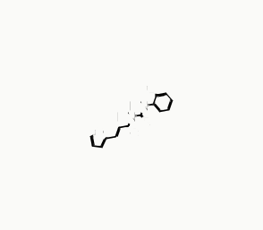 O=C(/C=C/c1ccco1)NC(=S)Nc1ccccc1C(F)(F)F